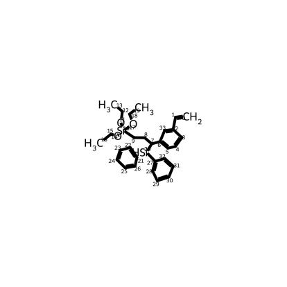 C=Cc1cccc(C(CC[Si](OCC)(OCC)OCC)[SiH](c2ccccc2)c2ccccc2)c1